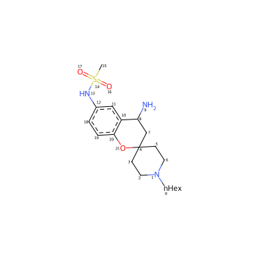 CCCCCCN1CCC2(CC1)CC(N)c1cc(NS(C)(=O)=O)ccc1O2